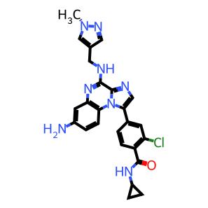 Cn1cc(CNc2nc3cc(N)ccc3n3c(-c4ccc(C(=O)NC5CC5)c(Cl)c4)cnc23)cn1